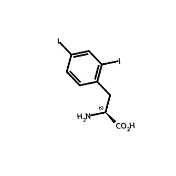 N[C@@H](Cc1ccc(I)cc1I)C(=O)O